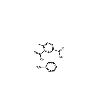 Cc1ccc(C(=O)O)cc1C(=O)O.Nc1ccccc1